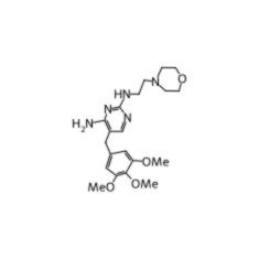 COc1cc(Cc2cnc(NCCN3CCOCC3)nc2N)cc(OC)c1OC